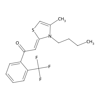 CCCCN1C(C)=CSC1=CC(=O)c1ccccc1C(F)(F)F